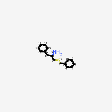 NC(CSCc1ccccc1)Cc1ccccc1